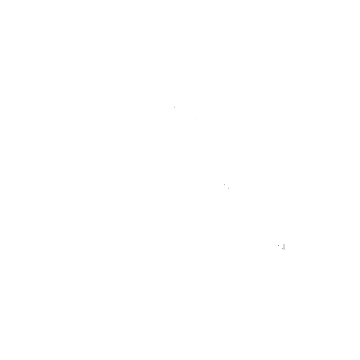 Cl.NC(CCN1CCC2(CC1)CCN(Cc1ccc(Br)cc1)C2=O)c1ccccc1Cl